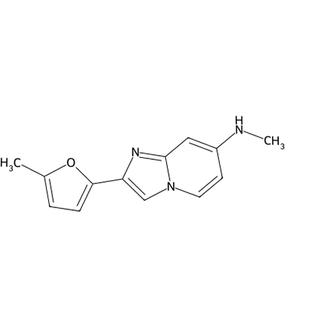 CNc1ccn2cc(-c3ccc(C)o3)nc2c1